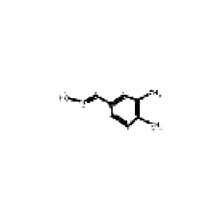 Cc1ccc(/C=N/O)cc1C